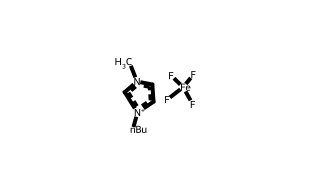 CCCC[n+]1ccn(C)c1.[F][Fe]([F])([F])[F]